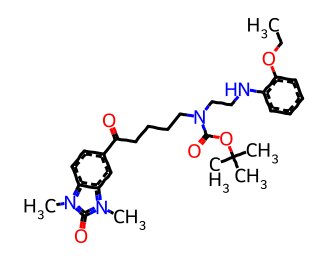 CCOc1ccccc1NCCN(CCCCC(=O)c1ccc2c(c1)n(C)c(=O)n2C)C(=O)OC(C)(C)C